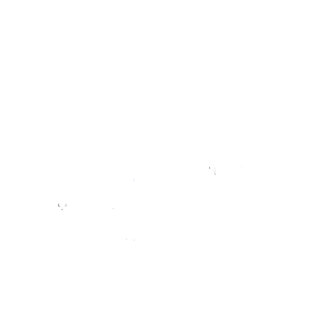 COC(=O)/C=C/c1ccccc1N=C=O